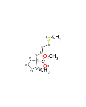 COC(=O)C1(CCCCSC)CCCC1C